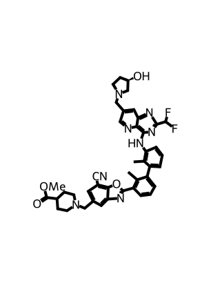 COC(=O)C1CCN(Cc2cc(C#N)c3oc(-c4cccc(-c5cccc(Nc6nc(C(F)F)nc7cc(CN8CC[C@@H](O)C8)cnc67)c5C)c4C)nc3c2)CC1